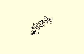 O=P(O)(O)OC[C@H]1O[C@@H](n2cnc3c(NCc4cc(Cl)c(Cl)cc4Cl)ncnc32)[C@H](O)[C@@H]1O